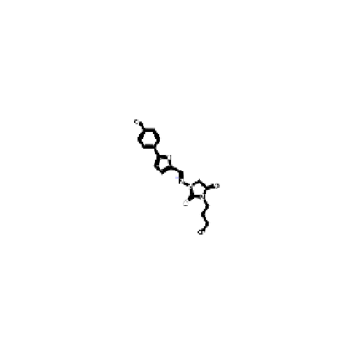 O=C1CN(/N=C/c2ccc(-c3ccc(Cl)cc3)o2)C(=O)N1CCCCl